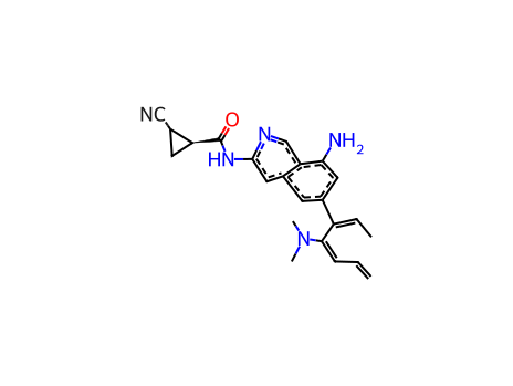 C=C/C=C(\C(=C/C)c1cc(N)c2cnc(NC(=O)[C@H]3CC3C#N)cc2c1)N(C)C